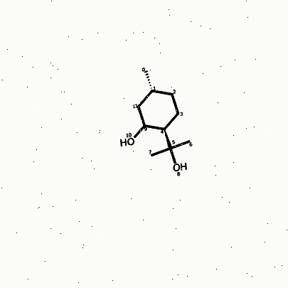 C[C@@H]1CC[C@@H](C(C)(C)O)C(O)C1